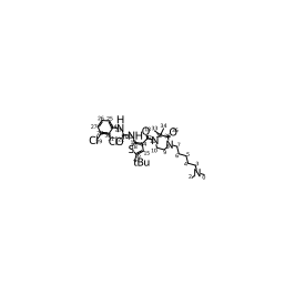 CN(C)CCCCCN1CCN(C(=O)c2cc(C(C)(C)C)sc2NC(=O)Nc2cccc(Cl)c2Cl)C(C)(C)C1=O